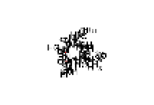 CCNC(=O)N[C@H](Cc1ccccc1)C(=O)N[C@H]1CSSC[C@@H](C(=O)N[C@H](C(=O)NCCSSc2ccccn2)[C@@H](C)O)NC(=O)[C@H]([C@@H](C)O)NC(=O)[C@H](CCCCNC(=O)OC(C)(C)C)NC(=O)[C@@H](Cc2c[nH]c3ccccc23)NC(=O)[C@H](Cc2ccc(O)cc2)NC1=O